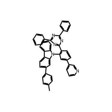 Cc1ccc(-c2ccc3c4ccccc4n(-c4cc(-c5cccnc5)ccc4-c4nc(-c5ccccc5)nc(-c5ccccc5)n4)c3c2)cc1